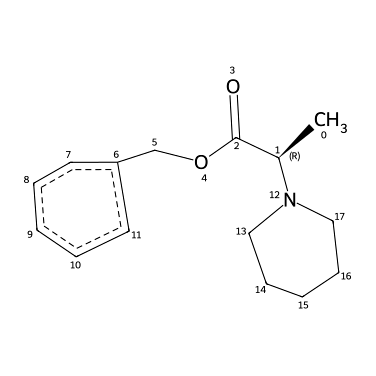 C[C@H](C(=O)OCc1ccccc1)N1CCCCC1